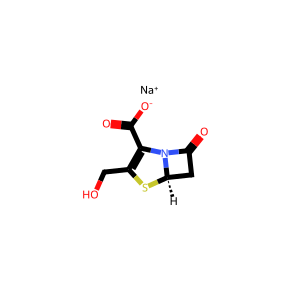 O=C([O-])C1=C(CO)S[C@@H]2CC(=O)N12.[Na+]